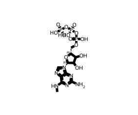 CNc1nc(N)nc2c1ncn2[C@@H]1O[C@H](COP(=O)(O)OP(=O)(O)OP(=O)(O)O)C(O)C1O